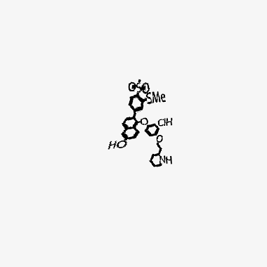 CSc1cc(-c2ccc3cc(O)ccc3c2Oc2ccc(OCCC3CCCCN3)cc2)ccc1S(C)(=O)=O.Cl